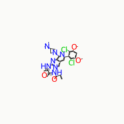 C=CC(=O)N[C@H]1COC[C@H]1Nc1ncc2cc(-c3c(Cl)c(OC)cc(OC)c3Cl)nc(N3CC(N(C)C)C3)c2n1